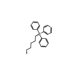 CCCCCC[B-](c1ccccc1)(c1ccccc1)c1ccccc1